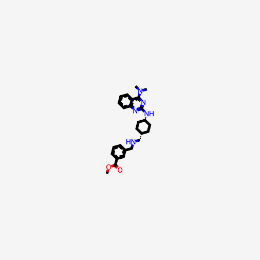 COC(=O)c1cccc(CNC[C@H]2CC[C@@H](Nc3nc(N(C)C)c4ccccc4n3)CC2)c1